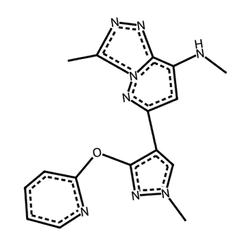 CNc1cc(-c2cn(C)nc2Oc2ccccn2)nn2c(C)nnc12